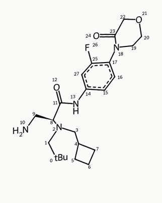 CC(C)(C)CN(CC1CCC1)[C@@H](CN)C(=O)Nc1ccc(N2CCOCC2=O)c(F)c1